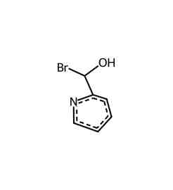 OC(Br)c1ccccn1